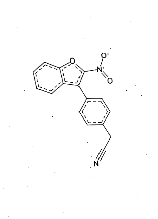 N#CCc1ccc(-c2c([N+](=O)[O-])oc3ccccc23)cc1